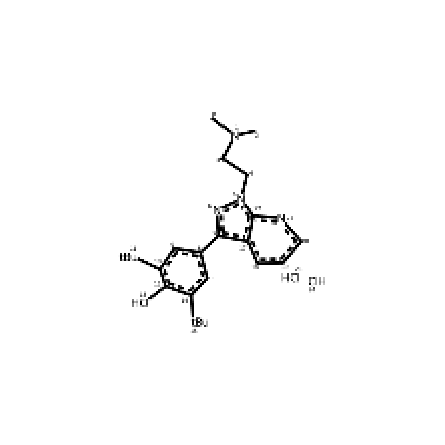 CN(C)CCn1nc(-c2cc(C(C)(C)C)c(O)c(C(C)(C)C)c2)c2cccnc21.Cl.Cl